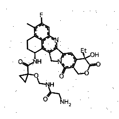 CC[C@@]1(O)C(=O)OCc2c1cc1n(c2=O)Cc2c-1nc1cc(F)c(C)c3c1c2[C@@H](NC(=O)C1(OCNC(=O)CN)CC1)CC3